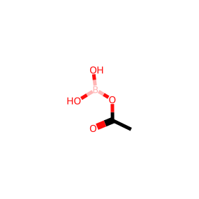 CC(=O)OB(O)O